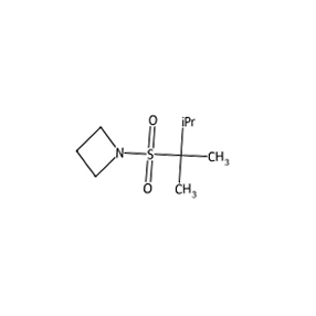 CC(C)C(C)(C)S(=O)(=O)N1CCC1